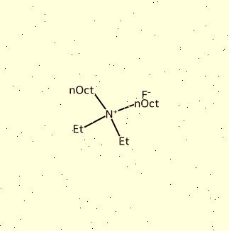 CCCCCCCC[N+](CC)(CC)CCCCCCCC.[F-]